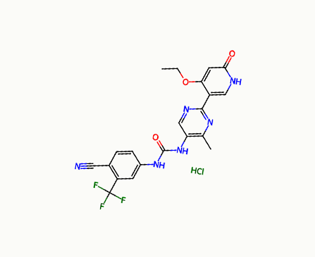 CCOc1cc(=O)[nH]cc1-c1ncc(NC(=O)Nc2ccc(C#N)c(C(F)(F)F)c2)c(C)n1.Cl